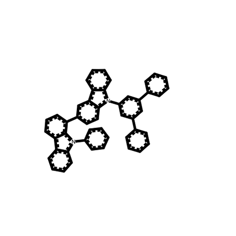 c1ccc(-c2cc(-c3ccccc3)cc(-n3c4ccccc4c4cc(-c5cccc6c7ccccc7n(-c7ccccc7)c56)ccc43)c2)cc1